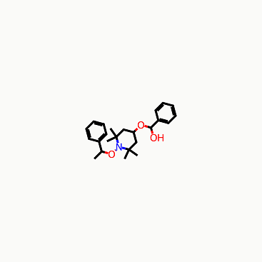 CC(ON1C(C)(C)CC(OC(O)c2ccccc2)CC1(C)C)c1ccccc1